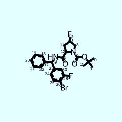 CC(C)(C)OC(=O)N1CC(F)CC1C(=O)NC(c1ccccc1)c1ccc(Br)c(F)c1